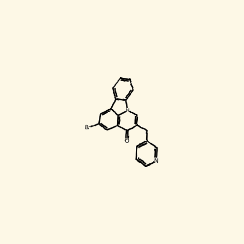 O=c1c(Cc2cccnc2)cn2c3ccccc3c3cc(Br)cc1c32